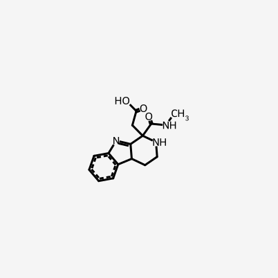 CNC(=O)C1(CC(=O)O)NCCC2C1=Nc1ccccc12